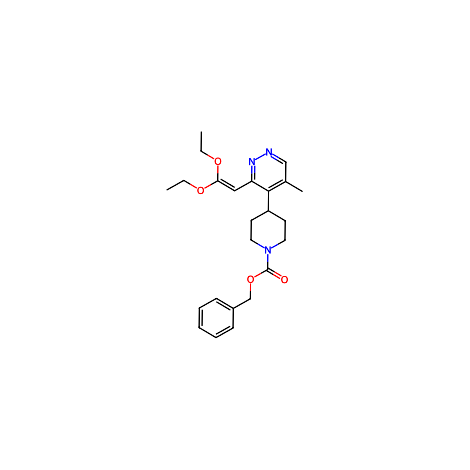 CCOC(=Cc1nncc(C)c1C1CCN(C(=O)OCc2ccccc2)CC1)OCC